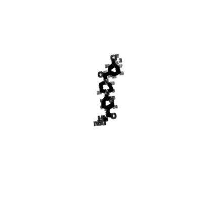 CCCCNC(=O)c1ccc(N2CCN(C(=O)c3cccc(C(F)(F)F)c3)CC2)nc1